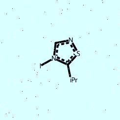 CC(C)c1snc[n+]1I